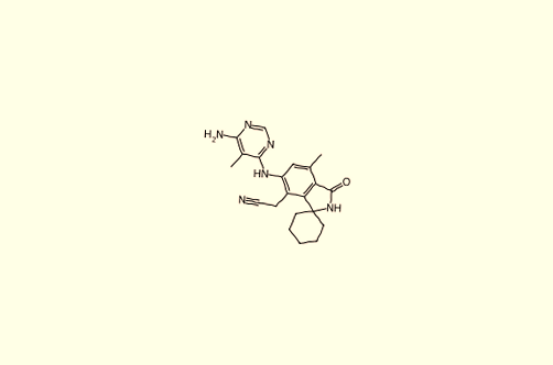 Cc1cc(Nc2ncnc(N)c2C)c(CC#N)c2c1C(=O)NC21CCCCC1